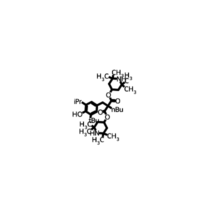 CCCCC(Cc1cc(C(C)C)c(O)c(C(C)(C)C)c1)(C(=O)OC1CC(C)(C)NC(C)(C)C1)C(=O)OC1CC(C)(C)NC(C)(C)C1